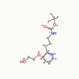 CC(C)(C)OC(=O)NCCCc1ncccc1OCCO